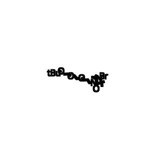 CC(C)(C)OCCOCCOCCCN1C(=O)C(C)(C)N(Br)C1(C)C